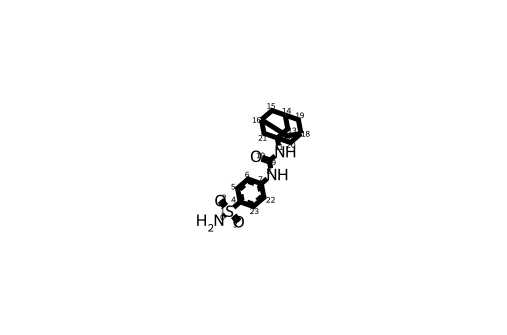 NS(=O)(=O)c1ccc(NC(=O)NC23CC4CC(CC(C4)C2)C3)cc1